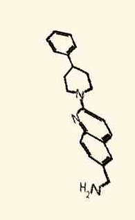 NCc1ccc2nc(N3CCC(c4ccccc4)CC3)ccc2c1